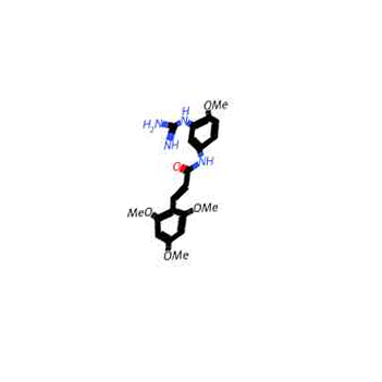 COc1cc(OC)c(/C=C/C(=O)Nc2ccc(OC)c(NC(=N)N)c2)c(OC)c1